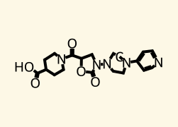 O=C(O)C1CCN(C(=O)C2CN(N3CCN(c4ccncc4)CC3)C(=O)O2)CC1